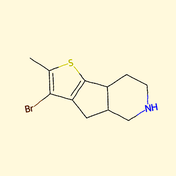 Cc1sc2c(c1Br)CC1CNCCC21